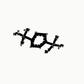 CCC[Si](Br)(Br)c1ccc([Si](Br)(Br)CCC)cc1